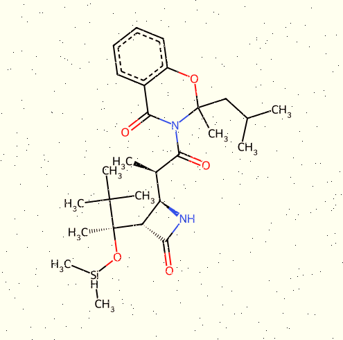 CC(C)CC1(C)Oc2ccccc2C(=O)N1C(=O)[C@H](C)[C@H]1NC(=O)[C@@H]1[C@@](C)(O[SiH](C)C)C(C)(C)C